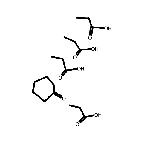 CCC(=O)O.CCC(=O)O.CCC(=O)O.CCC(=O)O.O=C1CCCCC1